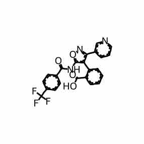 O=C(Nc1onc(-c2cccnc2)c1-c1ccccc1C(=O)O)c1ccc(C(F)(F)F)cc1